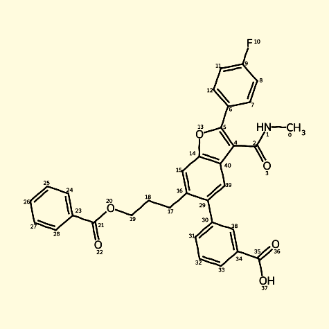 CNC(=O)c1c(-c2ccc(F)cc2)oc2cc(CCCOC(=O)c3ccccc3)c(-c3cccc(C(=O)O)c3)cc12